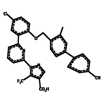 Cc1cc(-c2ccc(C#N)cc2)ccc1COc1ccc(Cl)cc1-c1cccc(-n2ncc(C(=O)O)c2C(F)(F)F)n1